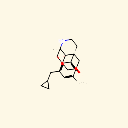 COc1cc(CC2CC2)c2c(c1)[C@]13CCN[C@H](C2)[C@]1(O)CCC(=O)C3